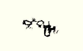 COc1cccc(C(=O)N2CCN(c3cccc(CO)c3F)CC2)c1